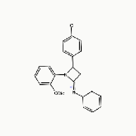 COc1ccccc1N1/C(=N/C2C=CC=CC2)CC1c1ccc(Cl)cc1